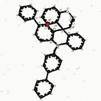 c1ccc(-c2ccc(N3c4ccccc4C4(c5ccccc5Oc5ccccc54)c4cc(-c5ccccc5)ccc43)cc2)cc1